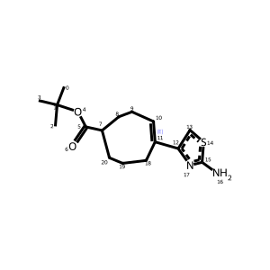 CC(C)(C)OC(=O)C1CC/C=C(/c2csc(N)n2)CCC1